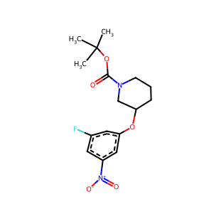 CC(C)(C)OC(=O)N1CCCC(Oc2cc(F)cc([N+](=O)[O-])c2)C1